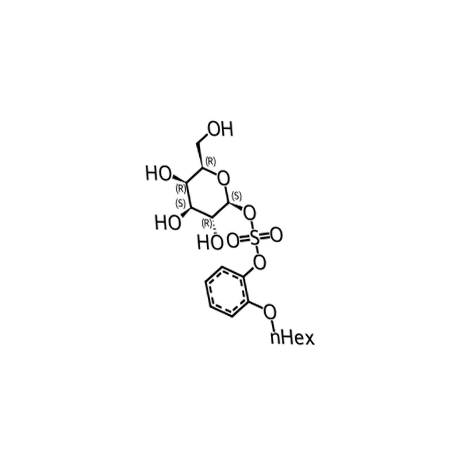 CCCCCCOc1ccccc1OS(=O)(=O)O[C@@H]1O[C@H](CO)[C@H](O)[C@H](O)[C@H]1O